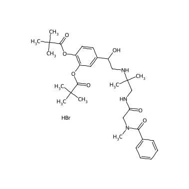 Br.CN(CC(=O)NCC(C)(C)NCC(O)c1ccc(OC(=O)C(C)(C)C)c(OC(=O)C(C)(C)C)c1)C(=O)c1ccccc1